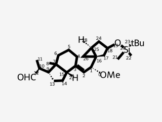 CO[C@H](/C=C1\CCCC2(C)[C@@H]([C@H](C)C=O)CC[C@@H]12)[C@@]12CC(O[Si](C)(C)C(C)(C)C)C[C@@H]1C2